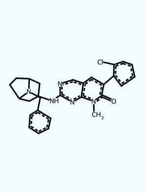 Cn1c(=O)c(-c2ccccc2Cl)cc2cnc(NC3CC4CCC(C3)N4Cc3ccccc3)nc21